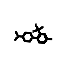 Cc1ccc(N2CCC(N(C)C)CC2)c(C(F)(F)F)c1